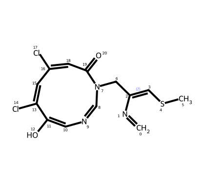 C=N/C(=C\SC)Cn1cncc(O)c(Cl)cc(Cl)cc1=O